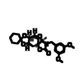 COc1cc(CN2C(=O)O[C@@]34C[C@H]5OC6(CCCCC6)O[C@H]5[C@@H](C3)O[C@@]24C)cc(OC)c1